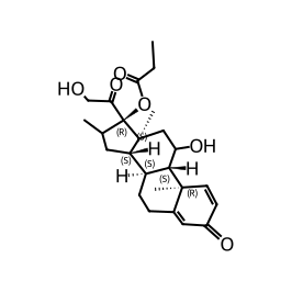 CCC(=O)O[C@]1(C(=O)CO)C(C)C[C@H]2[C@@H]3CCC4=CC(=O)C=C[C@]4(C)[C@H]3C(O)C[C@@]21C